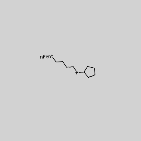 CCCCCCCCC[P]C1CCCC1